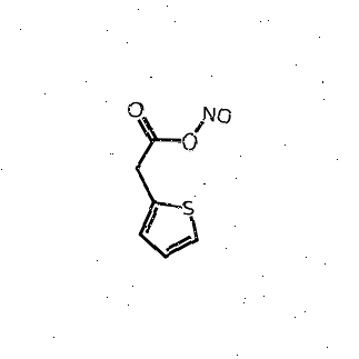 O=NOC(=O)Cc1cccs1